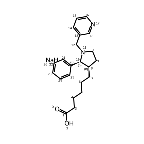 O=C(O)CCCCC[C@@H]1CCN(Cc2cccnc2)[C@@H]1c1ccccc1.[NaH]